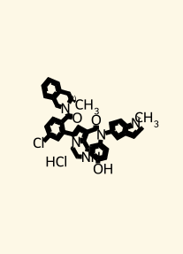 C[C@@H]1Cc2ccccc2CN1C(=O)c1ccc(Cl)cc1-c1cc(C(=O)N(c2ccc(O)cc2)c2ccc3c(ccn3C)c2)c2n1CCNC2.Cl